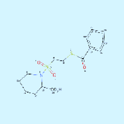 O=C(SCCS(=O)(=O)N1CCCCC1C(=O)O)c1ccccc1